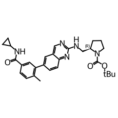 Cc1ccc(C(=O)NC2CC2)cc1-c1ccc2nc(NC[C@H]3CCCN3C(=O)OC(C)(C)C)ncc2c1